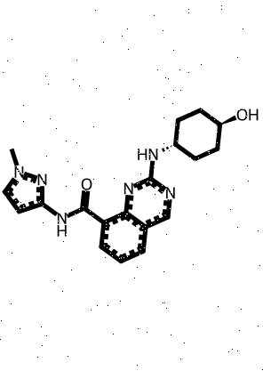 Cn1ccc(NC(=O)c2cccc3cnc(N[C@H]4CC[C@H](O)CC4)nc23)n1